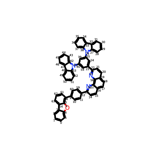 c1ccc2c(c1)oc1c(-c3ccc(-c4ccc5ccc6ccc(-c7cc(-n8c9ccccc9c9ccccc98)cc(-n8c9ccccc9c9ccccc98)c7)nc6c5n4)cc3)cccc12